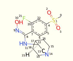 CS(=O)(=O)c1ccc(/C(=N\O)N[C@@H]2CN3CCC2CC3)c(F)c1